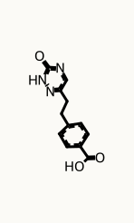 O=C(O)c1ccc(CCc2cnc(=O)[nH]n2)cc1